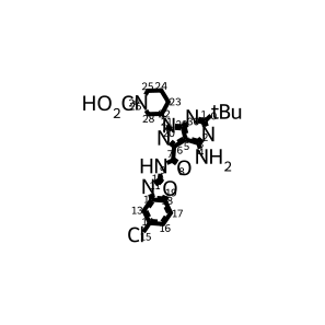 CC(C)(C)c1nc(N)c2c(C(=O)Nc3nc4cc(Cl)ccc4o3)nn([C@@H]3CCCN(C(=O)O)C3)c2n1